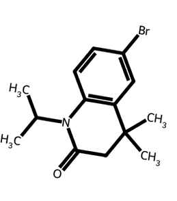 CC(C)N1C(=O)CC(C)(C)c2cc(Br)ccc21